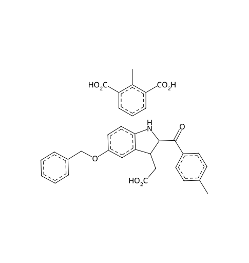 Cc1c(C(=O)O)cccc1C(=O)O.Cc1ccc(C(=O)C2Nc3ccc(OCc4ccccc4)cc3C2CC(=O)O)cc1